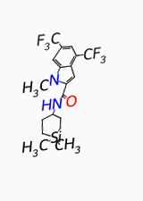 Cn1c(C(=O)NC2CC[Si](C)(C)CC2)cc2c(C(F)(F)F)cc(C(F)(F)F)cc21